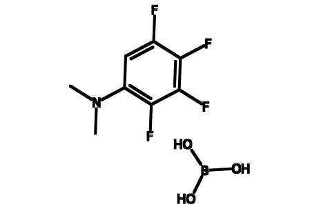 CN(C)c1cc(F)c(F)c(F)c1F.OB(O)O